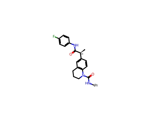 CC(C)NC(=O)N1CCCc2cc([C@H](C)C(=O)Nc3ccc(F)cc3)ccc21